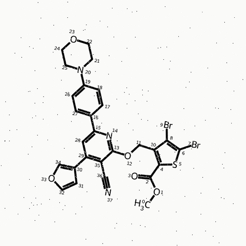 COC(=O)c1sc(Br)c(Br)c1COc1nc(-c2ccc(N3CCOCC3)cc2)cc(-c2ccoc2)c1C#N